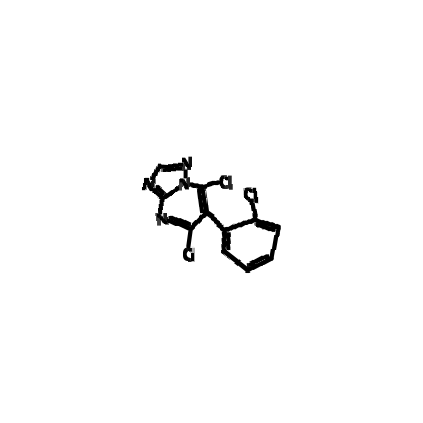 Clc1ccccc1-c1c(Cl)nc2ncnn2c1Cl